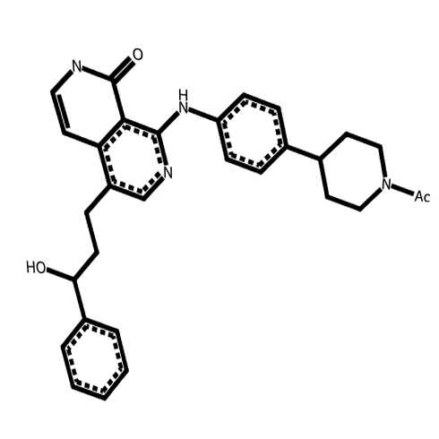 CC(=O)N1CCC(c2ccc(Nc3ncc(CCC(O)c4ccccc4)c4c3C(=O)[N]C=C4)cc2)CC1